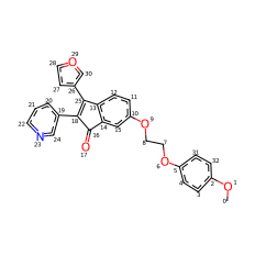 COc1ccc(OCCOc2ccc3c(c2)C(=O)C(c2cccnc2)=C3c2ccoc2)cc1